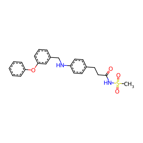 CS(=O)(=O)NC(=O)CCc1ccc(NCc2cccc(Oc3ccccc3)c2)cc1